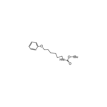 CC(C)(C)OC(=O)NCCCCCCOc1[c]cccc1